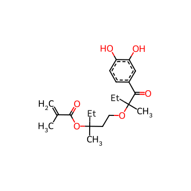 C=C(C)C(=O)OC(C)(CC)CCOC(C)(CC)C(=O)c1ccc(O)c(O)c1